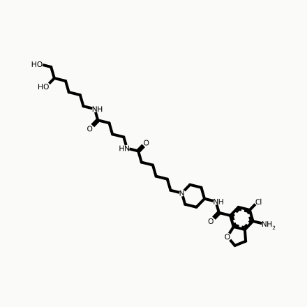 Nc1c(Cl)cc(C(=O)NC2CCN(CCCCCC(=O)NCCCC(=O)NCCCCC(O)CO)CC2)c2c1CCO2